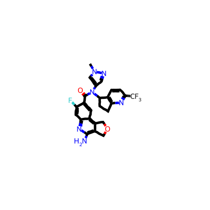 Cn1cc(N(C(=O)c2cc3c4c(c(N)nc3cc2F)COC4)C2CCc3nc(C(F)(F)F)ccc32)cn1